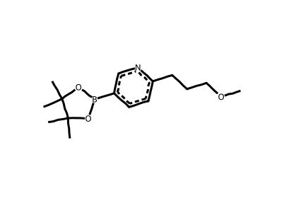 COCCCc1ccc(B2OC(C)(C)C(C)(C)O2)cn1